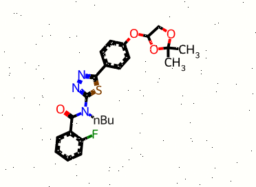 CCCCN(C(=O)c1ccccc1F)c1nnc(-c2ccc(OC3COC(C)(C)O3)cc2)s1